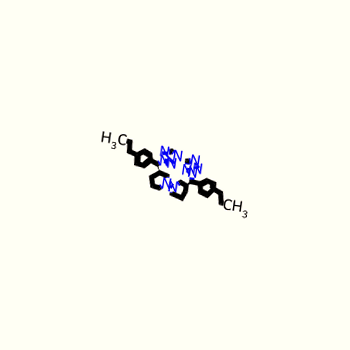 CCCc1ccc(C([C@H]2CCCN(N3CCC[C@H](C(c4ccc(CCC)cc4)n4ncnn4)C3)C2)n2ncnn2)cc1